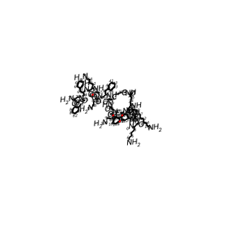 CNC(CCCCN)C(=O)NC(CCCCN)CN(CC(=O)NC1CCC(=O)NCCCCC(C(=O)NC(Cc2ccccc2)CN(CC(=O)NC(CCCCN)C(=O)NC(Cc2ccccc2)CN(CC(N)=O)S(=O)(=O)Cc2ccccc2)S(=O)(=O)CCN)NC(=O)CN(S(=O)(=O)CCN)CC(Cc2ccccc2)NC1=O)S(=O)(=O)Cc1ccccc1